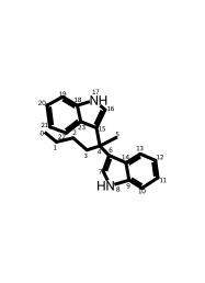 CCCCC(C)(c1c[nH]c2ccccc12)c1c[nH]c2ccccc12